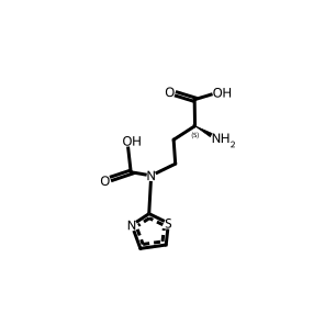 N[C@@H](CCN(C(=O)O)c1nccs1)C(=O)O